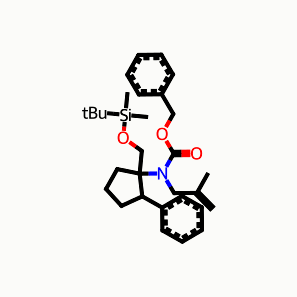 C=C(C)CN(C(=O)OCc1ccccc1)C1(CO[Si](C)(C)C(C)(C)C)CCCC1c1ccccc1